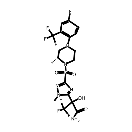 C[C@@H]1CN(c2ccc(F)cc2C(F)(F)F)CCN1S(=O)(=O)c1nc(C(O)(C(N)=O)C(F)(F)F)n(C)n1